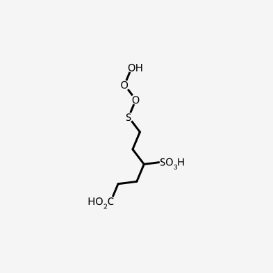 O=C(O)CCC(CCSOOO)S(=O)(=O)O